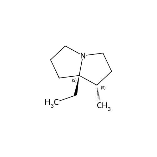 CC[C@@]12CCCN1CC[C@@H]2C